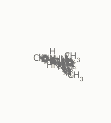 CC(Nc1nc(Nc2cc(-c3ccc(Cl)cc3)[nH]n2)nc(N2CCN(C)CC2)n1)c1ccc(F)cc1